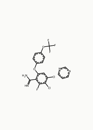 N=C(N)c1c(Oc2ccc(OC(F)(F)F)cc2)cc(Cl)c(Cl)c1F.c1cncnc1